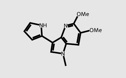 COc1cc2c(nc1OC)c(-c1ccc[nH]1)cn2C